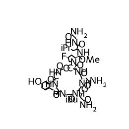 CC[C@H](C)[C@@H]1NC(=O)[C@H](Cc2ccc(O)cc2)NC(=O)CNC(=O)CC[C@@H](C(=O)N2C[C@H](F)C[C@H]2C(NC(CC(C)C)C(=O)NCC(N)=O)OC)NC(=O)[C@H](CC(N)=O)NC(=O)[C@H](CCC(N)=O)NC1=O